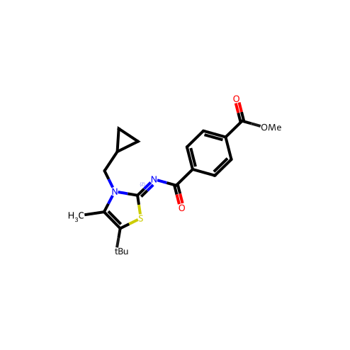 COC(=O)c1ccc(C(=O)/N=c2\sc(C(C)(C)C)c(C)n2CC2CC2)cc1